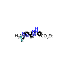 CCOC(=O)C1CCC(Nc2ncc3c(-c4ccc5nc(C)n(CC(F)F)c5n4)ccn3n2)CC1